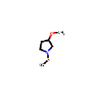 COC1CCN(SS)C1